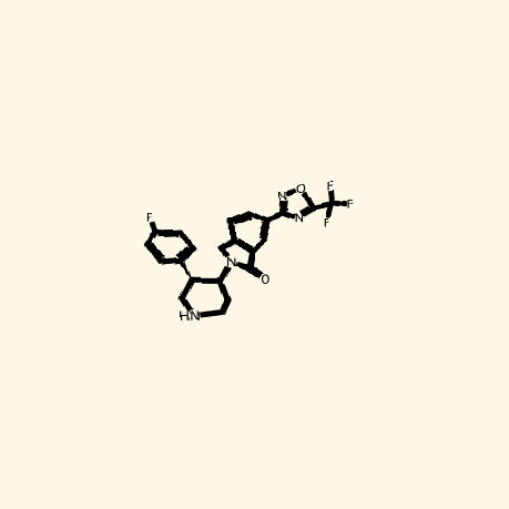 O=C1c2cc(-c3noc(C(F)(F)F)n3)ccc2CN1C1CCNC[C@H]1c1ccc(F)cc1